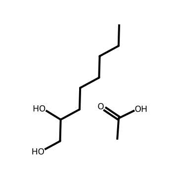 CC(=O)O.CCCCCCC(O)CO